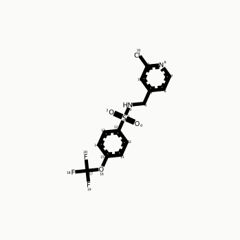 O=S(=O)(NCc1ccnc(Cl)c1)c1ccc(OC(F)(F)F)cc1